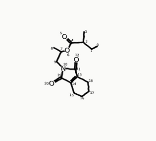 CCC(C)C(=O)OC(C)CN1C(=O)C2=C(CCCC2)C1=O